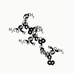 C=CC(=O)N1CCN(c2nc(OC[C@H]3CN(C)CCO3)nc3c2CCN(c2cc(CN(C)C(C)(C)COc4nc5c(c(N6CCN(C(=O)C=C)C(CC#N)C6)n4)CCN(C4(C)CC=C(CO[C@@H]6C[C@@H](COc7nc8c(c(N9CCN(C(=O)C=C)C(CC#N)C9)n7)CCN(c7cccc9ccccc79)C8)N(C)C6)c6ccccc64)C5)cc4ccccc24)C3)CC1CC#N